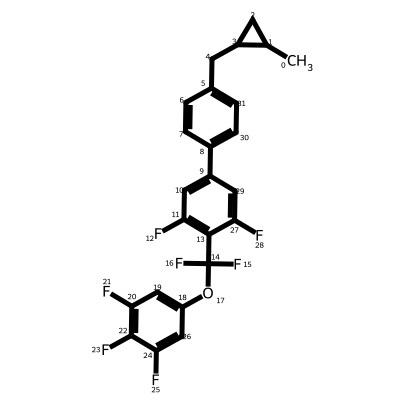 CC1CC1Cc1ccc(-c2cc(F)c(C(F)(F)Oc3cc(F)c(F)c(F)c3)c(F)c2)cc1